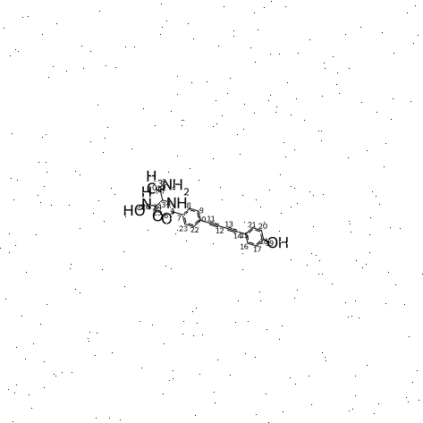 C[C@@H](N)C(NC(=O)c1ccc(C#CC#Cc2ccc(O)cc2)cc1)C(=O)NO